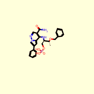 C[C@@H](OCc1ccccc1)[C@@H](COP(=O)(O)O)Nc1c(C(N)=O)cnn2cc(-c3ccccc3)cc12